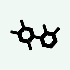 Cc1cc(-c2cccc(C)c2C)[n+](C)cc1C